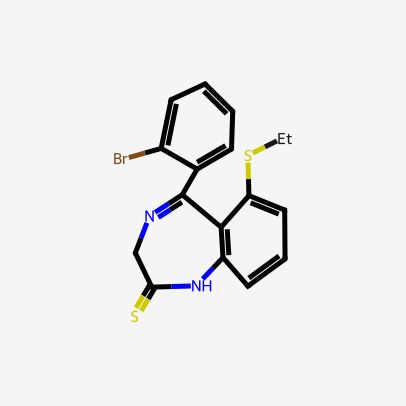 CCSc1cccc2c1C(c1ccccc1Br)=NCC(=S)N2